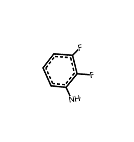 [NH]c1cccc(F)c1F